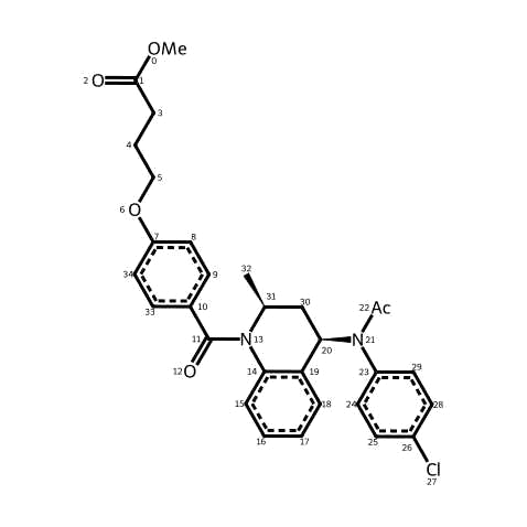 COC(=O)CCCOc1ccc(C(=O)N2c3ccccc3[C@H](N(C(C)=O)c3ccc(Cl)cc3)C[C@@H]2C)cc1